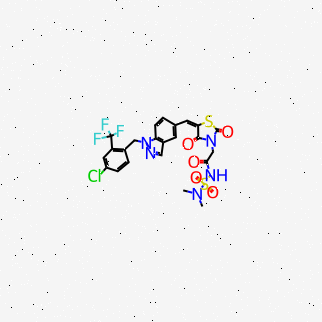 CN(C)S(=O)(=O)NC(=O)CN1C(=O)SC(=Cc2ccc3c(cnn3Cc3ccc(Cl)cc3C(F)(F)F)c2)C1=O